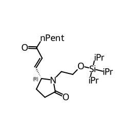 CCCCCC(=O)C=C[C@H]1CCC(=O)N1CCO[Si](C(C)C)(C(C)C)C(C)C